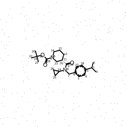 CC(C)c1ccc(CN(C(=O)[C@H]2CCCN(C(=O)OC(C)(C)C)C2)C2CC2)cc1